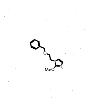 COc1nccn1CCOCc1ccccc1